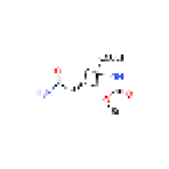 CCOC(=O)C1(NC(=O)OC(C)(C)C)CC(=CC(N)=O)C1